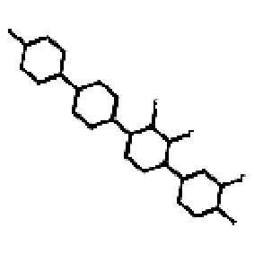 CC1CCC(C2CCC(C3CCC(C4CCC(C)C(F)C4)C(F)C3F)CC2)CC1